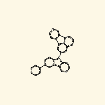 c1ccc(-c2ccc3c(c2)c2ccccc2n3-c2cc3c4c(cccc4c2)-c2cnccc2-3)cc1